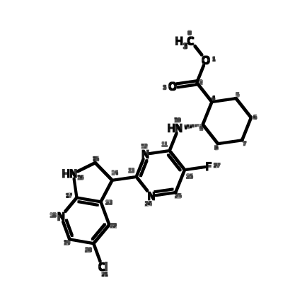 COC(=O)C1CCCC[C@@H]1Nc1nc(C2CNc3ncc(Cl)cc32)ncc1F